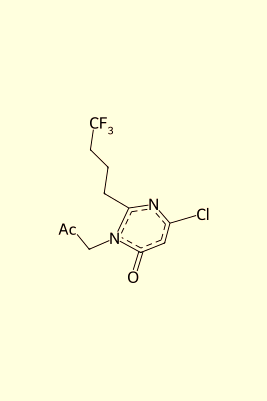 CC(=O)Cn1c(CCCC(F)(F)F)nc(Cl)cc1=O